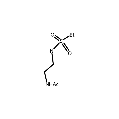 CCS(=O)(=O)[N]CCNC(C)=O